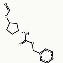 O=CO[C@@H]1CC[C@@H](NC(=O)OCc2ccccc2)C1